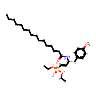 CCCCCCCCCCCCCCCC(=O)N[C@@H](/C=C/P(=O)(OCC)OCC)Cc1ccc(O)cc1